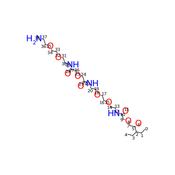 CCC(CC)C(=O)COCC(=O)NCCOCCOCCNC(=O)COCC(=O)NCCOCCOCCN